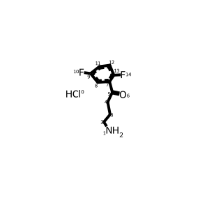 Cl.NCCCC(=O)c1cc(F)ccc1F